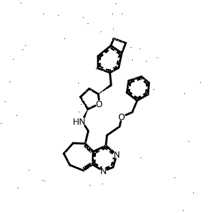 C1=c2ncnc(CCOCc3ccccc3)c2=C(CN[C@H]2CC[C@@H](Cc3ccc4c(c3)CC4)O2)CCC1